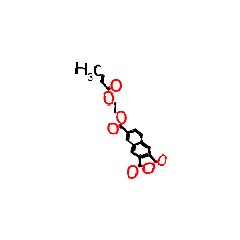 CC=CC(=O)OCCOC(=O)c1ccc2cc3c(cc2c1)C(=O)OC3=O